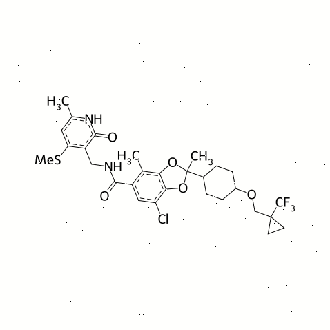 CSc1cc(C)[nH]c(=O)c1CNC(=O)c1cc(Cl)c2c(c1C)OC(C)(C1CCC(OCC3(C(F)(F)F)CC3)CC1)O2